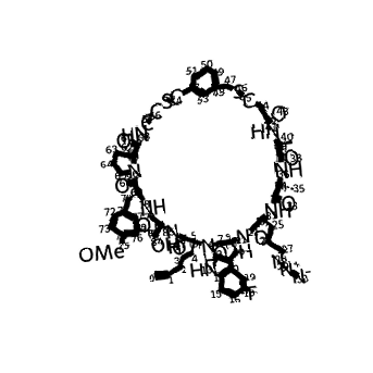 C#CCCC[C@@H]1NC(=O)[C@H](Cc2c[nH]c3ccc(F)cc23)NC(=O)[C@H](CCCN=[N+]=[N-])NC(=O)[C@@H](C)NC(=O)[C@H](C)NC(=O)CCSCc2cccc(c2)CSCCNC(=O)[C@]2(C)CCCN2C(=O)[C@H](Cc2ccc(OC)cc2)NC(=O)[C@H]([C@@H](C)O)NC1=O